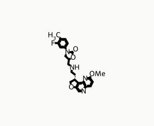 COc1ccc2ncc3c(c2n1)[C@@H](CCNCC1CN(c2ccc(C)c(F)c2)C(=O)O1)CO3